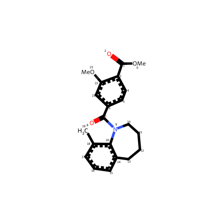 COC(=O)c1ccc(C(=O)N2CCCCc3cccc(C)c32)cc1OC